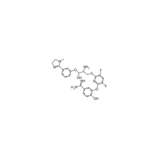 CN1CCN=C1c1cccc(OC(O)C(N)CSc2nc(Oc3cc(C(=N)N)ccc3O)c(F)cc2F)c1